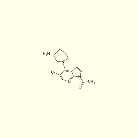 NC(=O)n1c[c]c2c(N3CCC[C@@H](N)C3)c(Cl)cnc21